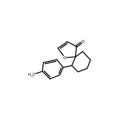 Cc1ccc(C2CCCCC23OC=CC3=O)cc1